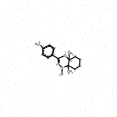 Cc1ccc(C2=N[S+]([O-])C3(C)CCCCC3(C)O2)cc1